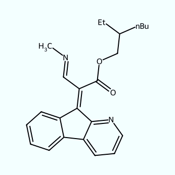 CCCCC(CC)COC(=O)C(/C=N/C)=C1/c2ccccc2-c2cccnc21